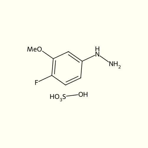 COc1cc(NN)ccc1F.O=S(=O)(O)O